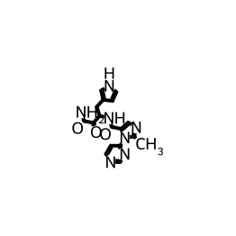 Cc1ncc(C(=O)NC(Cc2cc[nH]c2)C(=O)C(N)=O)n1-c1ccncn1